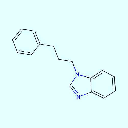 c1ccc(CCCn2cnc3ccccc32)cc1